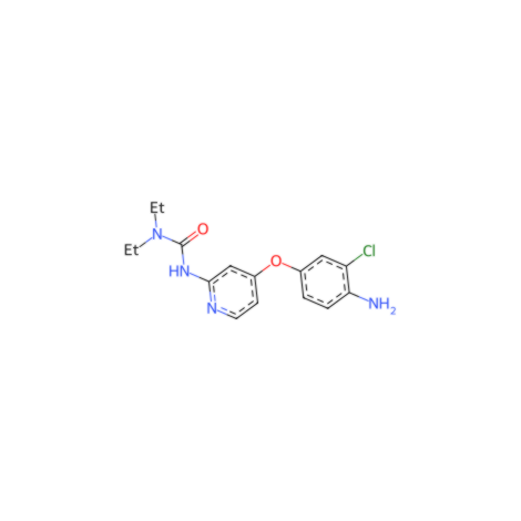 CCN(CC)C(=O)Nc1cc(Oc2ccc(N)c(Cl)c2)ccn1